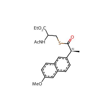 CCOC(=O)C(CSC(=O)[C@@H](C)c1ccc2cc(OC)ccc2c1)NC(C)=O